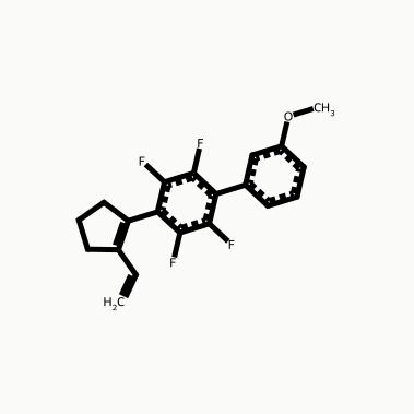 C=CC1=C(c2c(F)c(F)c(-c3cccc(OC)c3)c(F)c2F)CCC1